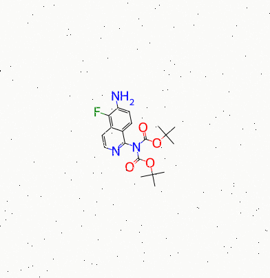 CC(C)(C)OC(=O)N(C(=O)OC(C)(C)C)c1nccc2c(F)c(N)ccc12